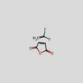 C=C(F)F.O=C1C=CC(=O)O1